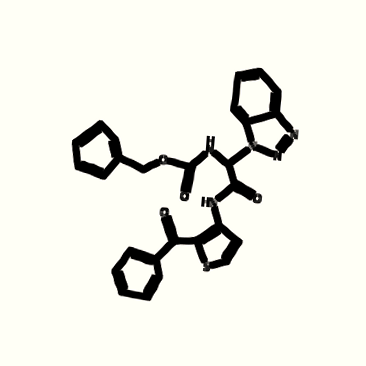 O=C(NC(C(=O)Nc1ccsc1C(=O)c1ccccc1)n1nnc2ccccc21)OCc1ccccc1